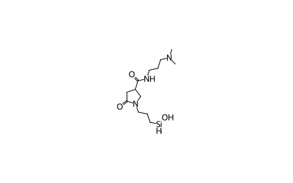 CN(C)CCCNC(=O)C1CC(=O)N(CCC[SiH](C)O)C1